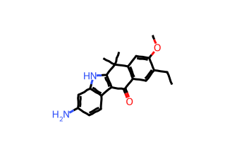 CCc1cc2c(cc1OC)C(C)(C)c1[nH]c3cc(N)ccc3c1C2=O